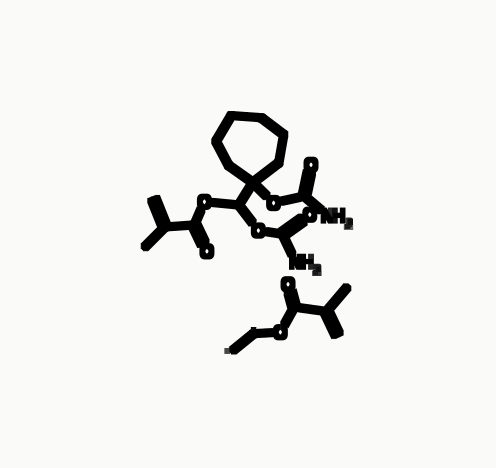 C=C(C)C(=O)OC(OC(N)=O)C1(OC(N)=O)CCCCCC1.[CH2][CH]OC(=O)C(=C)C